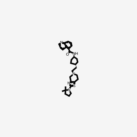 CC1(C)CCCN1c1nc2c(s1)CCN(CC[C@H]1CC[C@H](NC(=O)c3cccc4ncccc34)CC1)C2